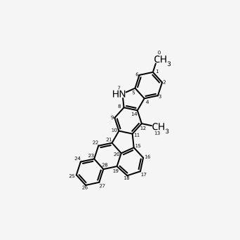 Cc1ccc2c(c1)[nH]c1cc3c(c(C)c12)-c1cccc2c1c-3cc1ccccc12